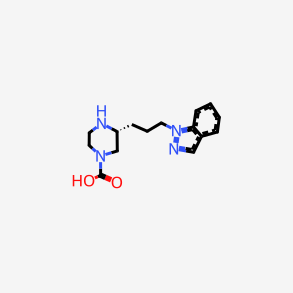 O=C(O)N1CCN[C@H](CCCn2ncc3ccccc32)C1